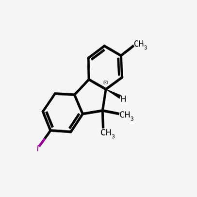 CC1=C[C@H]2C(C=C1)C1CC=C(I)C=C1C2(C)C